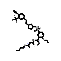 CCC/C=N/C(C)=C/C(=O)N/C(=N\C)c1cc(S(=O)(=O)NC2CCC(CCc3ccc(C#N)c(C(F)(F)F)c3)C2)ccc1OCC